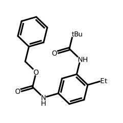 [CH2]Cc1ccc(NC(=O)OCc2ccccc2)cc1NC(=O)C(C)(C)C